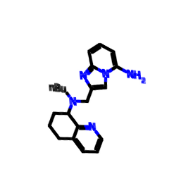 [CH2]CCCN(Cc1cn2c(N)cccc2n1)C1CCCc2cccnc21